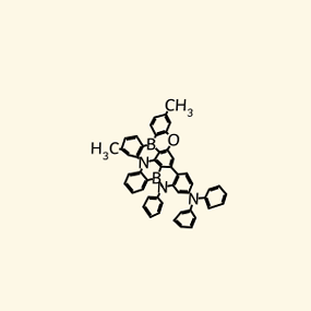 Cc1ccc2c(c1)Oc1cc3c4c5c1B2c1ccc(C)cc1N5c1ccccc1B4N(c1ccccc1)c1cc(N(c2ccccc2)c2ccccc2)ccc1-3